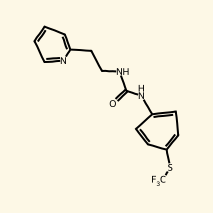 O=C(NCCc1ccccn1)Nc1ccc(SC(F)(F)F)cc1